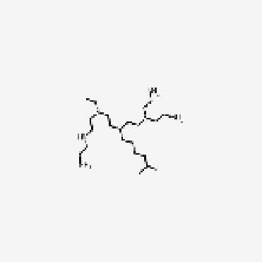 CCN(CCNCCN)CCC(CCCCC(C)C)CCN(CCN)CCN